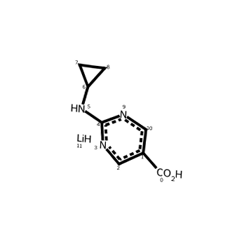 O=C(O)c1cnc(NC2CC2)nc1.[LiH]